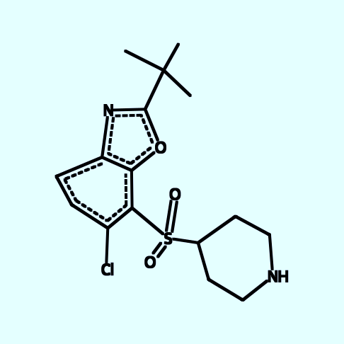 CC(C)(C)c1nc2ccc(Cl)c(S(=O)(=O)C3CCNCC3)c2o1